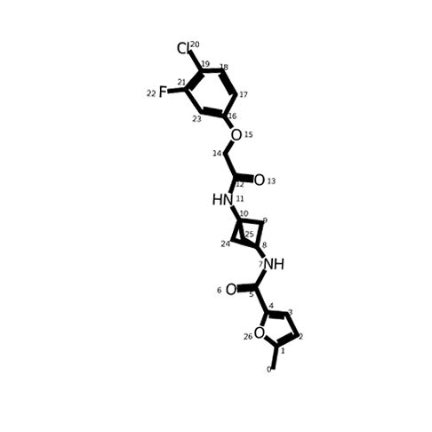 Cc1ccc(C(=O)NC23CC(NC(=O)COc4ccc(Cl)c(F)c4)(C2)C3)o1